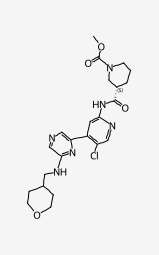 COC(=O)N1CCC[C@H](C(=O)Nc2cc(-c3cncc(NCC4CCOCC4)n3)c(Cl)cn2)C1